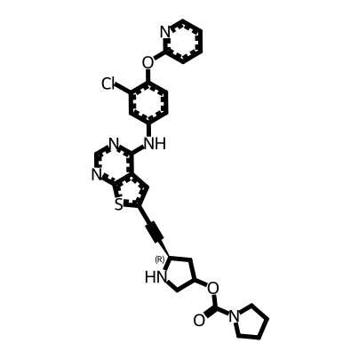 O=C(OC1CN[C@@H](C#Cc2cc3c(Nc4ccc(Oc5ccccn5)c(Cl)c4)ncnc3s2)C1)N1CCCC1